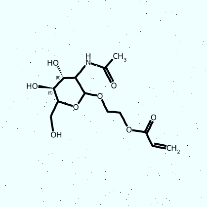 C=CC(=O)OCCOC1OC(CO)[C@@H](O)[C@H](O)C1NC(C)=O